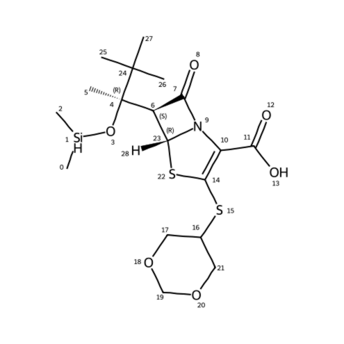 C[SiH](C)O[C@](C)([C@H]1C(=O)N2C(C(=O)O)=C(SC3COCOC3)S[C@H]12)C(C)(C)C